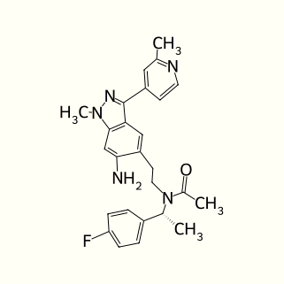 CC(=O)N(CCc1cc2c(-c3ccnc(C)c3)nn(C)c2cc1N)[C@H](C)c1ccc(F)cc1